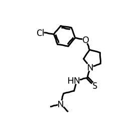 CN(C)CCNC(=S)N1CCC(Oc2ccc(Cl)cc2)C1